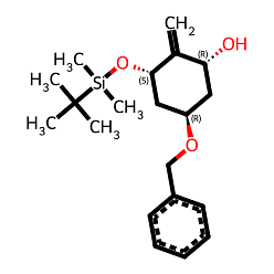 C=C1[C@H](O)C[C@@H](OCc2ccccc2)C[C@@H]1O[Si](C)(C)C(C)(C)C